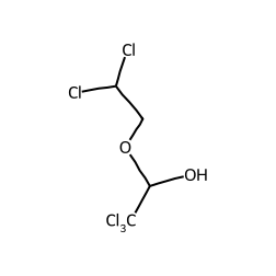 OC(OCC(Cl)Cl)C(Cl)(Cl)Cl